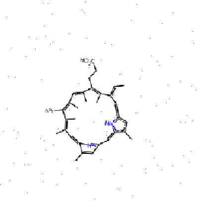 C/C=C1\C=c2\cc(C)/c([nH]2)=C/C2=NC(=C\C(C)=C(C)\C(CCC)=C(C)\C=C(C)\C(CCC(=O)O)=C\1C)/C(C)=C2